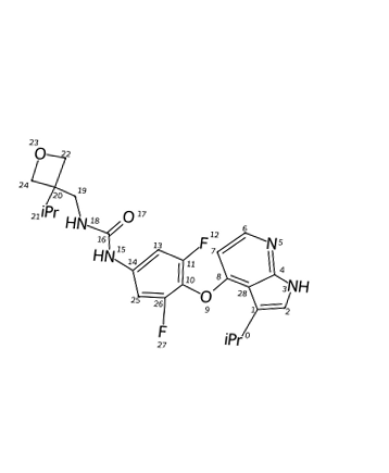 CC(C)c1c[nH]c2nccc(Oc3c(F)cc(NC(=O)NCC4(C(C)C)COC4)cc3F)c12